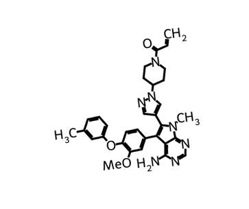 C=CC(=O)N1CCC(n2cc(-c3c(-c4ccc(Oc5cccc(C)c5)c(OC)c4)c4c(N)ncnc4n3C)cn2)CC1